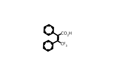 O=C(O)C(=C(c1ccccc1)C(F)(F)F)c1ccccc1